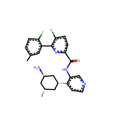 Cc1ccc(F)c(-c2nc(C(=O)Nc3cnccc3[C@@H]3C[C@H](C)C[C@@H](N)C3)ccc2F)c1